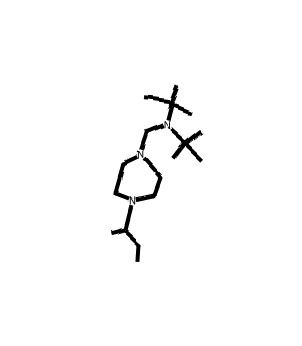 CCC(C)N1CCN(CN(C(C)(C)C)C(C)(C)C)CC1